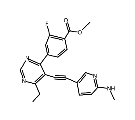 CCc1ncnc(-c2ccc(C(=O)OC)c(F)c2)c1C#Cc1ccc(NC)nc1